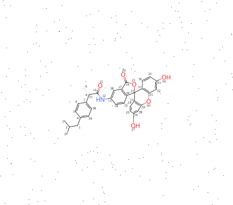 CC(C)Cc1ccc([C@H](C)C(=O)Nc2ccc3c(c2)C(=O)OC32c3ccc(O)cc3Oc3cc(O)ccc32)cc1